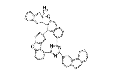 CC12C=c3ccccc3=CC1c1c(cccc1-c1ccc3oc4cccc(-c5nc(-c6ccccc6)nc(-c6ccc7ccc8ccccc8c7c6)n5)c4c3c1)O2